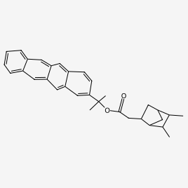 CC1C2CC(CC(=O)OC(C)(C)c3ccc4cc5cc6ccccc6cc5cc4c3)C(C2)C1C